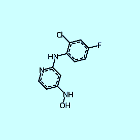 ONc1ccnc(Nc2ccc(F)cc2Cl)c1